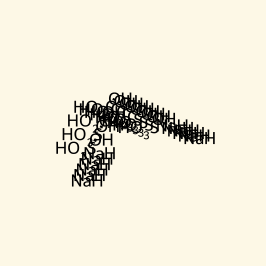 O=C(O)O.O=C(O)O.O=C(O)O.O=C(O)O.O=C(O)O.O=C(O)O.O=S(=O)(O)O.O=S(=O)(O)O.O=S(=O)(O)O.O=S(=O)(O)O.O=S(=O)(O)O.O=S(=O)(O)O.[NaH].[NaH].[NaH].[NaH].[NaH].[NaH].[NaH].[NaH].[NaH].[NaH].[NaH].[NaH]